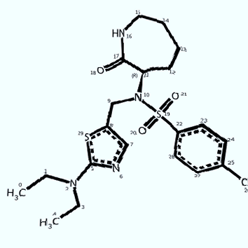 CCN(CC)c1ncc(CN([C@@H]2CCCCNC2=O)S(=O)(=O)c2ccc(Cl)cc2)s1